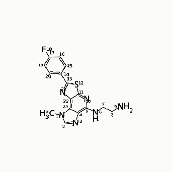 Cn1cnc2c(NCCN)nc3sc(-c4ccc(F)cc4)nc3c21